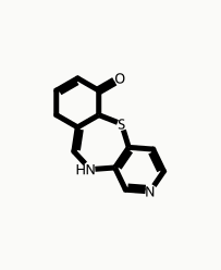 O=C1C=CCC2=CNc3cnccc3SC12